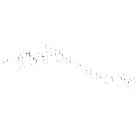 CN(C)C(=O)c1cc2cnc(Nc3ccc(N4CCN(CCN5CCN(c6ccc(C7CCC(=O)NC7=O)cc6)CC5)CC4)cn3)nc2n1C1CCCC1